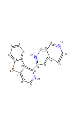 c1ccc2c(c1)sc1ccnc(-c3cc4ccncc4cn3)c12